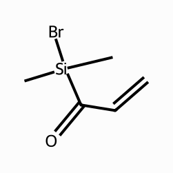 C=CC(=O)[Si](C)(C)Br